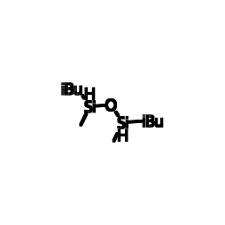 CCC(C)[SiH](C)O[SiH](C)C(C)CC